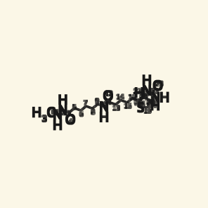 CNNC(=O)CCCCCNC(=O)CCCC[C@@H]1SC[C@H]2NC(=O)N[C@@H]12